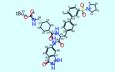 Cc1ccc(S(=O)(=O)N2CCCC2)cc1-c1ccc(C[C@H](NC(=O)[C@H]2CC[C@H](CNC(=O)OC(C)(C)C)CC2)C(=O)Nc2ccc3c(=O)[nH][nH]c3c2)cc1